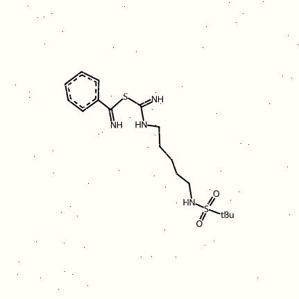 CC(C)(C)S(=O)(=O)NCCCCCNC(=N)SC(=N)c1ccccc1